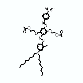 CCCCCCCCN(CCCCCCCC)c1ccc(/N=N/c2cc(OCCOC(C)=O)c(/N=N/c3ccc([N+](=O)[O-])cc3)cc2OCCOC(C)=O)c(C)c1